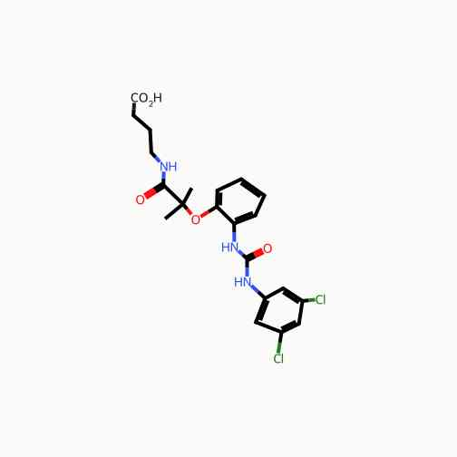 CC(C)(Oc1ccccc1NC(=O)Nc1cc(Cl)cc(Cl)c1)C(=O)NCCCC(=O)O